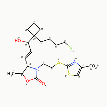 C[C@@H]1OC(=O)N(CCSc2nc(C(=O)O)cs2)[C@H]1C=CC(O)C1(CCCCF)CCC1